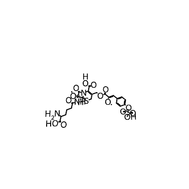 COC(=Cc1ccc(OS(=O)(=O)O)cc1)C(=O)OCC1=C(C(=O)O)N2C(=O)[C@](NC(=O)CCCC(N)C(=O)O)(OC)[C@@H]2SC1